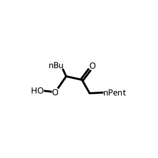 CCCCCCC(=O)C(CCCC)OO